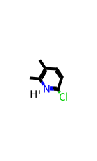 Cc1ccc(Cl)nc1C.[H+]